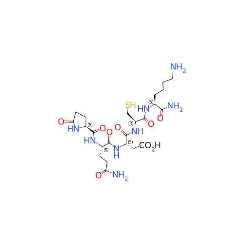 NCCCC[C@H](NC(=O)[C@H](CS)NC(=O)[C@H](CC(=O)O)NC(=O)[C@H](CCC(N)=O)NC(=O)[C@@H]1CCC(=O)N1)C(N)=O